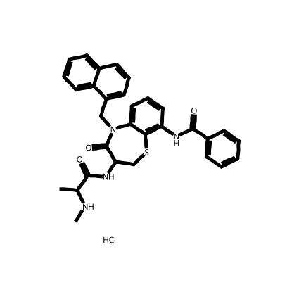 CNC(C)C(=O)NC1CSc2c(NC(=O)c3ccccc3)cccc2N(Cc2cccc3ccccc23)C1=O.Cl